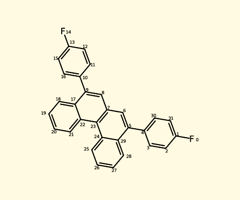 Fc1ccc(-c2cc3cc(-c4ccc(F)cc4)c4ccccc4c3c3ccccc23)cc1